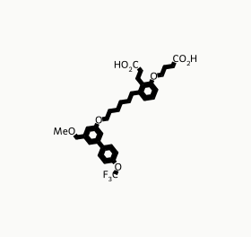 COCc1cc(OCCCCCCc2cccc(OCCCC(=O)O)c2CCC(=O)O)cc(-c2ccc(OC(F)(F)F)cc2)c1